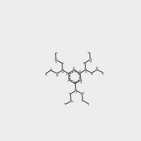 CCON(COC)c1cc(N(COC)OCC)nc(N(COC)COC)n1